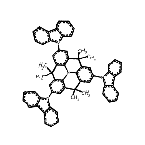 CC1(C)c2cc(-n3c4ccccc4c4ccccc43)cc3c2N2c4c1cc(-n1c5ccccc5c5ccccc51)cc4C(C)(C)c1cc(-n4c5ccccc5c5ccccc54)cc(c12)C3(C)C